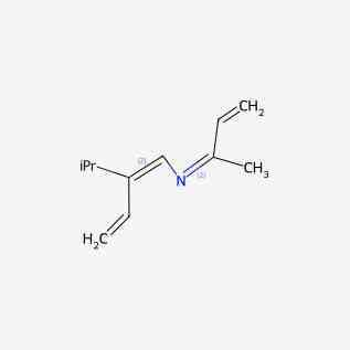 C=C/C(=C\N=C(\C)C=C)C(C)C